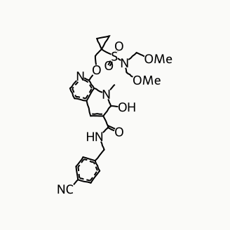 COCN(COC)S(=O)(=O)C1(COc2nccc3c2N(C)C(O)C(C(=O)NCc2ccc(C#N)cc2)=C3)CC1